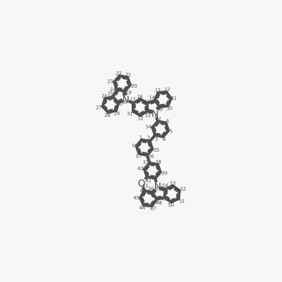 c1cc(-c2cccc(-n3c4ccccc4c4cc(-n5c6ccccc6c6ccccc65)ccc43)c2)cc(-c2ccc3c(c2)Oc2cccc4c5ccccc5n-3c24)c1